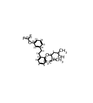 CC(O)CC(Oc1ccccc1CCc1cccc(OC(F)F)c1)N(C)C